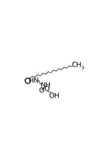 CCCCCCCCCCCCCCCC(Cc1ccccc1)NCCNC(=O)OCCO